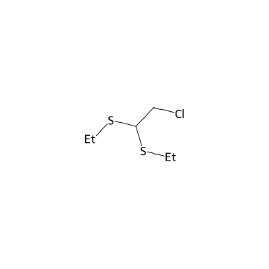 CCSC(CCl)SCC